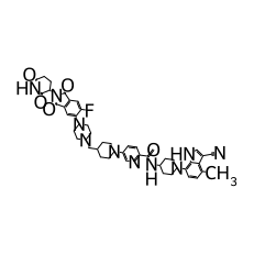 Cc1ccc(N2CCC(NC(=O)c3ccc(N4CCC(CN5CCN(c6cc7c(cc6F)C(=O)N(C6CCC(=O)NC6=O)C7=O)CC5)CC4)cn3)CC2)c2[nH]cc(C#N)c12